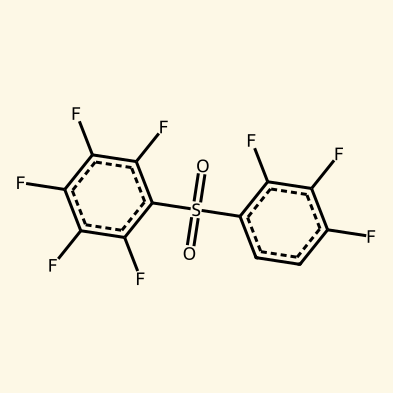 O=S(=O)(c1ccc(F)c(F)c1F)c1c(F)c(F)c(F)c(F)c1F